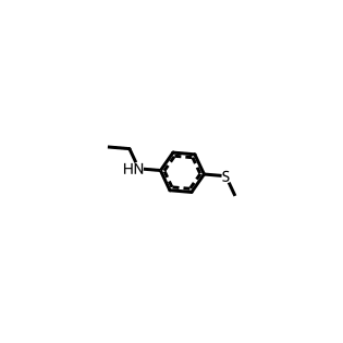 CCNc1ccc(SC)cc1